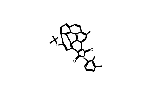 Cc1cccc(-n2c(=O)c3c4cc(C)c5ccc6ccc7c(OC(C)(C)C)cc(c3c2=O)c2c7c6c5c42)c1C